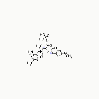 COc1ccc(/C=C(/S/C(CCOP(=O)(O)O)=C(/C)N(C=O)Cc2cnc(C)nc2N)C(=O)O)cc1